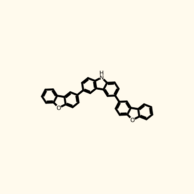 c1ccc2c(c1)oc1ccc(-c3ccc4[nH]c5ccc(-c6ccc7oc8ccccc8c7c6)cc5c4c3)cc12